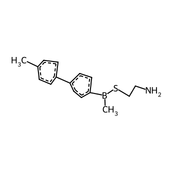 CB(SCCN)c1ccc(-c2ccc(C)cc2)cc1